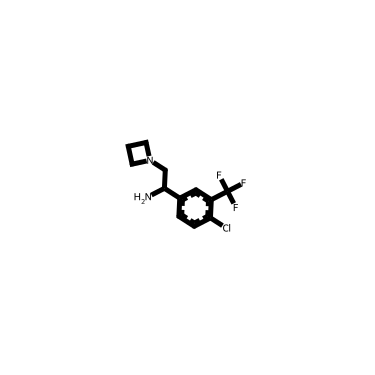 NC(CN1CCC1)c1ccc(Cl)c(C(F)(F)F)c1